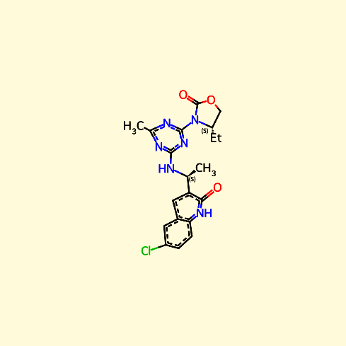 CC[C@H]1COC(=O)N1c1nc(C)nc(N[C@@H](C)c2cc3cc(Cl)ccc3[nH]c2=O)n1